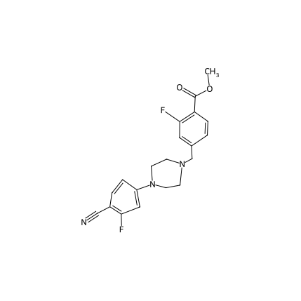 COC(=O)c1ccc(CN2CCN(c3ccc(C#N)c(F)c3)CC2)cc1F